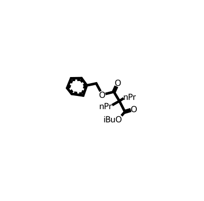 CCCC(CCC)(C(=O)OCc1ccccc1)C(=O)OCC(C)C